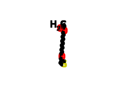 C=CC(=O)OCCCCCCCCCCCOCc1ccsc1